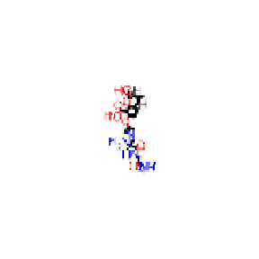 CNC(=O)CNC(=O)[C@](C)(N)CN1CC(Oc2ccc3c(c2C(=O)O)OB(O)[C@H]2C[C@@H]32)C1